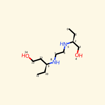 CC[C@@H](CO)NCCN[C@@H](CC)CCO